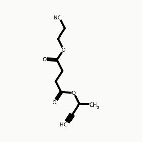 C#CC(C)OC(=O)CCC(=O)OCCC#N